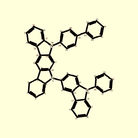 C1=CCC2C(=C1)N(c1ccc3c(c1)c1ccccc1n3-c1ccccc1)c1cc3c(cc12)c1ccccc1n3-c1ccc(-c2ccccc2)cc1